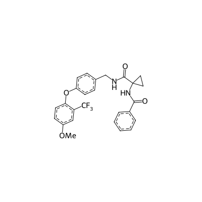 COc1ccc(Oc2ccc(CNC(=O)C3(NC(=O)c4ccccc4)CC3)cc2)c(C(F)(F)F)c1